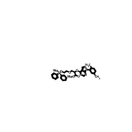 COC(=O)C(COCCO[Si](c1ccccc1)(c1ccccc1)C(C)(C)C)Oc1ncnc2c1cnn2-c1cc(C)ccc1C